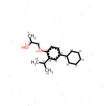 CC(O)COc1ccc(C2CCCCC2)cc1C(C)C